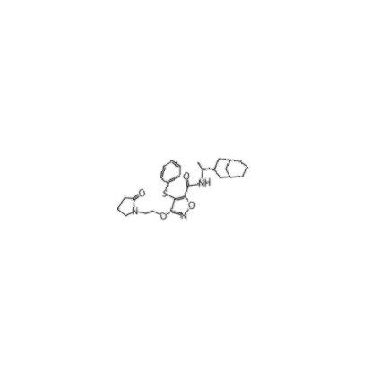 CC(NC(=O)c1onc(OCCN2CCCC2=O)c1Sc1ccccc1)C1CC2CCCC(C2)C1